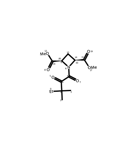 CCC(C)(C)C(=O)C(=O)N1[C@@H](C(=O)OC)C[C@H]1C(=O)OC